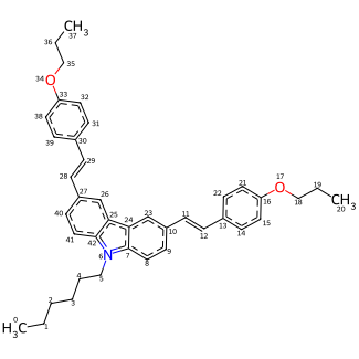 CCCCCCn1c2ccc(C=Cc3ccc(OCCC)cc3)cc2c2cc(C=Cc3ccc(OCCC)cc3)ccc21